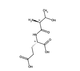 CC(O)[C@H](N)C(=O)N[C@@H](CCC(=O)O)C(=O)O